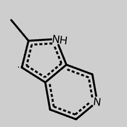 Cc1[c]c2ccncc2[nH]1